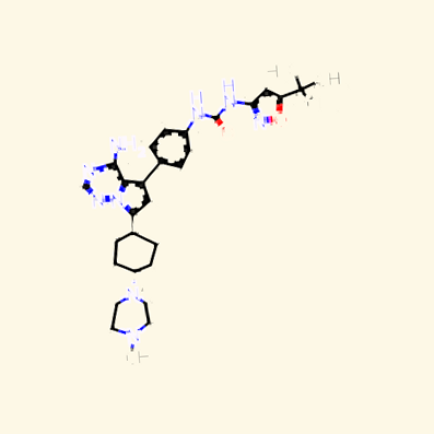 CN1CCN([C@H]2CC[C@H](c3cc(-c4ccc(NC(=O)Nc5cc(C(C)(C)C)on5)cc4)c4c(N)ncnn43)CC2)CC1